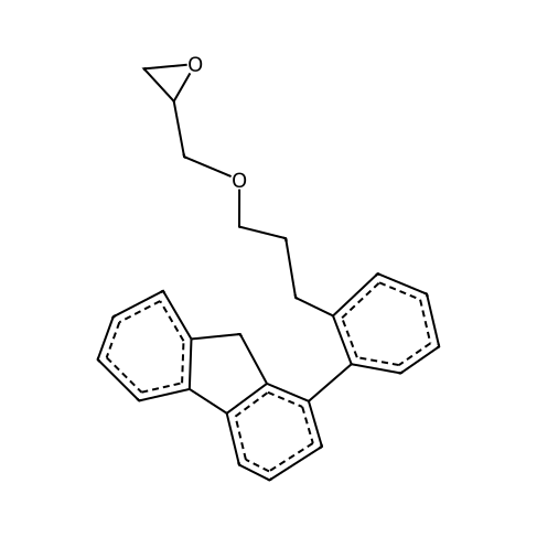 c1ccc(-c2cccc3c2Cc2ccccc2-3)c(CCCOCC2CO2)c1